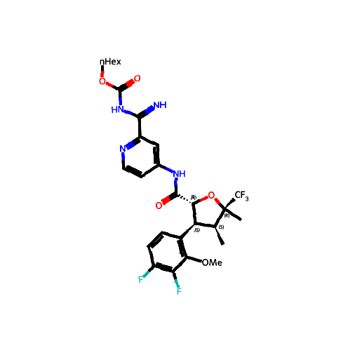 CCCCCCOC(=O)NC(=N)c1cc(NC(=O)[C@@H]2O[C@@](C)(C(F)(F)F)[C@@H](C)[C@H]2c2ccc(F)c(F)c2OC)ccn1